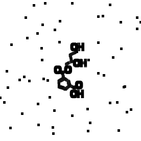 O=C(O)c1cccc(C(=O)OCC(O)CCO)c1